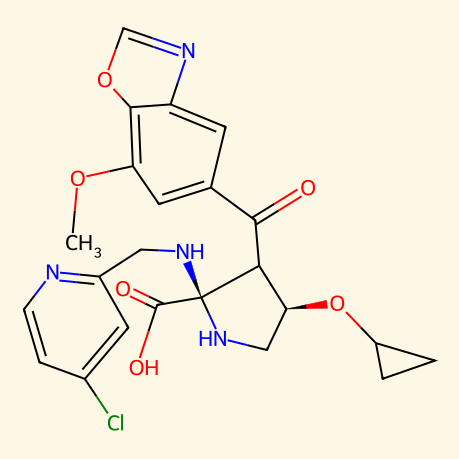 COc1cc(C(=O)C2[C@@H](OC3CC3)CN[C@]2(NCc2cc(Cl)ccn2)C(=O)O)cc2ncoc12